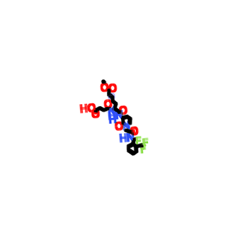 CCOC(=O)/C=C/CCC(NC(=O)CCC(=O)O)C(=O)Nc1cccn(CC(=O)NCc2ccccc2C(F)(F)F)c1=O